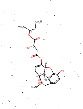 CC[C@]12c3c4ccc(O)c3O[C@H]1C(OC(=O)C[C@H](O)C(=O)O[C@H](CC(=O)O)C(=O)O)=CC[C@@]2(O)[C@H](NC)C4